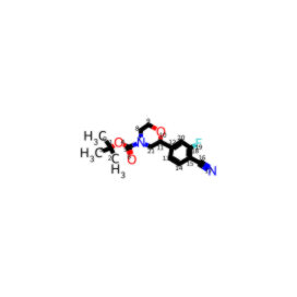 CC(C)(C)OC(=O)N1CCOC(c2ccc(C#N)c(F)c2)C1